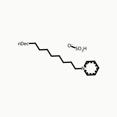 CCCCCCCCCCCCCCCCCC[n+]1ccccc1.O=S(=O)([O-])O